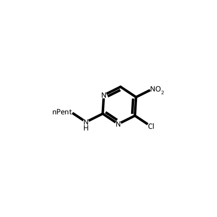 CCCCCNc1ncc([N+](=O)[O-])c(Cl)n1